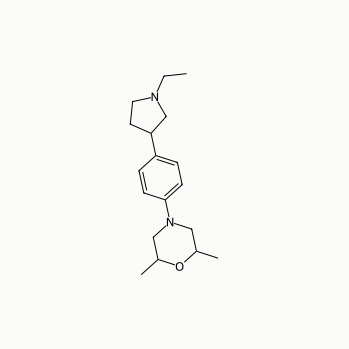 CCN1CCC(c2ccc(N3CC(C)OC(C)C3)cc2)C1